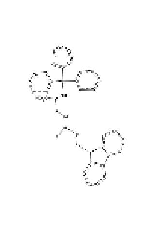 O=C(NCC(NC(c1ccccc1)(c1ccccc1)c1ccccc1)C(=O)O)OCC1c2ccccc2-c2ccccc21